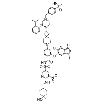 COc1nc2[nH]cc(F)c2cc1Oc1cc(N2CCC3(CC2)CC(N2CCN(Cc4ccc(S(C)(=N)=O)cc4)C[C@H]2c2ccccc2C(C)C)C3)ccc1C(=O)NS(=O)(=O)c1cnc(NCC2CCC(C)(O)CC2)c([N+](=O)[O-])c1